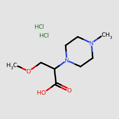 COCC(C(=O)O)N1CCN(C)CC1.Cl.Cl